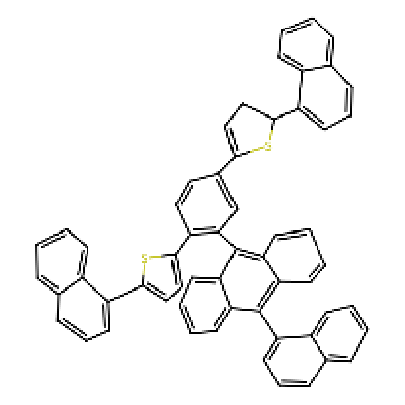 C1=C(c2ccc(-c3ccc(-c4cccc5ccccc45)s3)c(-c3c4ccccc4c(-c4cccc5ccccc45)c4ccccc34)c2)SC(c2cccc3ccccc23)C1